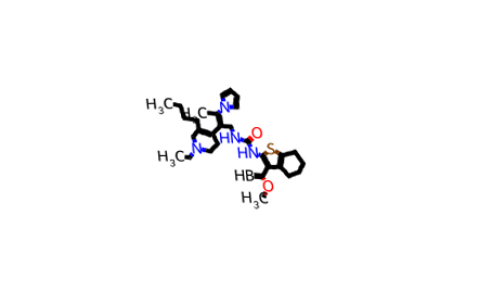 B=C(OC)c1c(NC(=O)NC/C(C2=C(CCCC)CN(CC)CC2)=C(/C)n2cccc2)sc2c1CCCC2